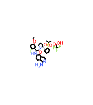 CCOc1ccc(F)c([C@H](Nc2ccc3c(N)nccc3c2)C(=O)N2CCC[C@@H]2c2ccccc2S(=O)(=O)C(C)C)c1.O=C(O)C(F)(F)F